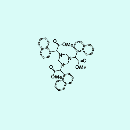 COC(=O)C(c1cccc2ccccc12)N1CN(C(C(=O)OC)c2cccc3ccccc23)CN(C(C(=O)OC)c2cccc3ccccc23)C1